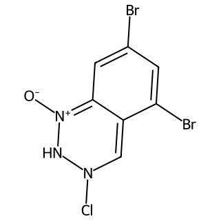 [O-][N+]1=c2cc(Br)cc(Br)c2=CN(Cl)N1